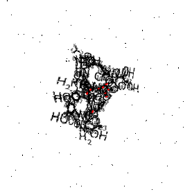 CN[C@H](CC(C)C)C(=O)N[C@H]1C(=O)N[C@@H](CC(N)=O)C(=O)N[C@H]2C(=O)N[C@H]3C(=O)N[C@H](C(=O)N[C@H](C(=O)O)c4cc(O)cc(O)c4-c4cc3ccc4O)[C@H](OC3CC(C)(N)C(O)C(C)O3)c3ccc(c(Cl)c3)Oc3cc2cc(c3OC2OC(CO)C(O)C(O)C2OC2CC(C)(N)C(O)C(C)O2)Oc2ccc(cc2Cl)[C@H]1O